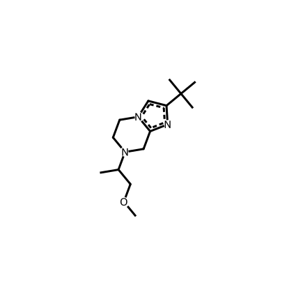 COCC(C)N1CCn2cc(C(C)(C)C)nc2C1